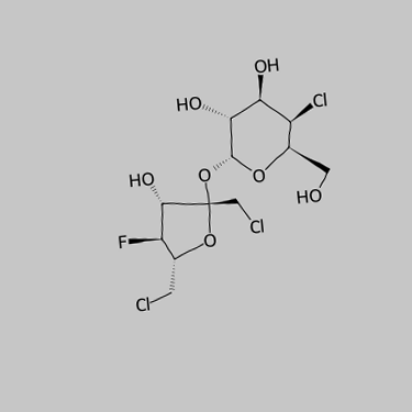 OC[C@H]1O[C@H](O[C@]2(CCl)O[C@H](CCl)[C@@H](F)[C@@H]2O)[C@H](O)[C@@H](O)[C@H]1Cl